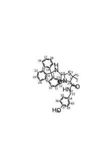 CC1(C)SC2C(NC(c3ccccc3)(c3ccccc3)c3ccccc3)C(=O)N2C1C(=O)NCc1ccc(O)cc1